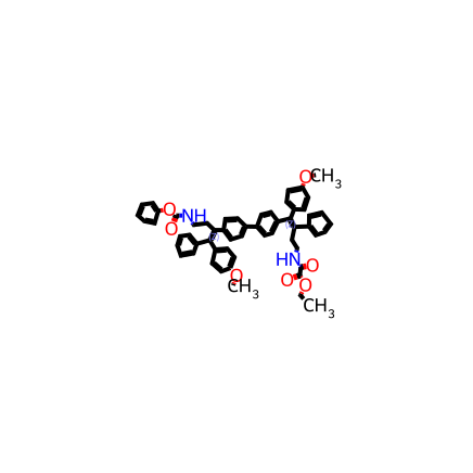 CCOC(=O)C(=O)NCC/C(=C(/c1ccc(OC)cc1)c1ccc(-c2ccc(/C(CCNC(=O)Oc3ccccc3)=C(/c3ccccc3)c3ccc(OC)cc3)cc2)cc1)c1ccccc1